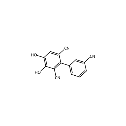 N#Cc1cccc(-c2c(C#N)cc(O)c(O)c2C#N)c1